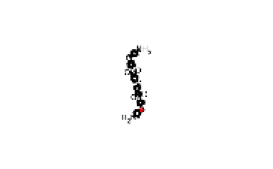 Nc1ccc(Oc2ccc(N3C(=O)c4ccc(Oc5ccc6c(c5)C(=O)N(c5ccc(Oc7ccc(N)cc7)cc5)C6=O)cc4C3=O)cc2)cc1